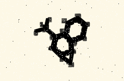 CN(C)c1cc2c(c3ccccc13)[CH]2